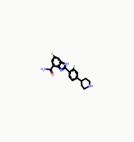 NC(=O)c1cc(F)cc2[nH]c(-c3ccc(C4CCNCC4)cc3F)nc12